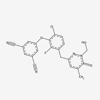 Cc1cc(Cc2ccc(Cl)c(Oc3cc(C#N)cc(C#N)c3)c2F)nn(CO)c1=O